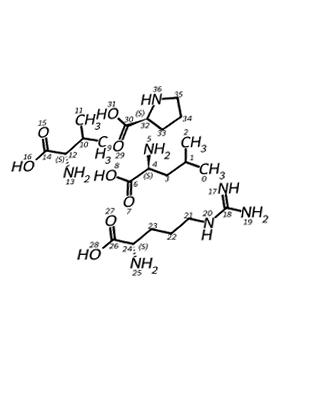 CC(C)C[C@H](N)C(=O)O.CC(C)[C@H](N)C(=O)O.N=C(N)NCCC[C@H](N)C(=O)O.O=C(O)[C@@H]1CCCN1